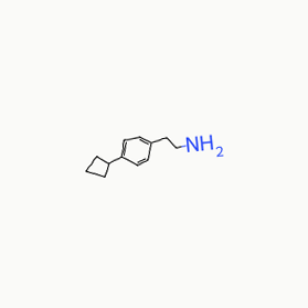 NCCc1ccc(C2CCC2)cc1